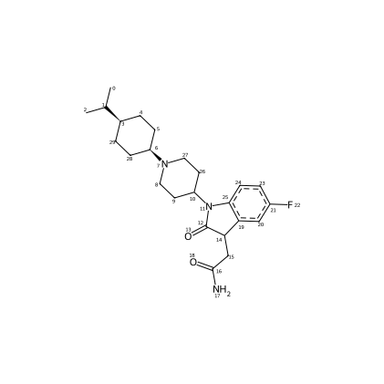 CC(C)[C@H]1CC[C@@H](N2CCC(N3C(=O)C(CC(N)=O)c4cc(F)ccc43)CC2)CC1